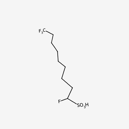 O=S(=O)(O)C(F)CCCCCCCC(F)(F)F